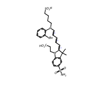 CC(C)(C)c1ccccc1N(/C=C/C=C/C=C1\N(CCC(=O)O)c2ccc(S(N)(=O)=O)cc2C1(C)C)CCCCS(=O)(=O)O